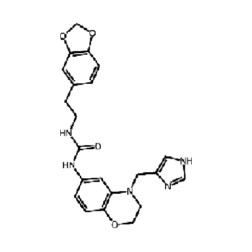 O=C(NCCc1ccc2c(c1)OCO2)Nc1ccc2c(c1)N(Cc1c[nH]cn1)CCO2